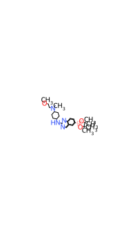 COCCN(C)C1CCC(Nc2ncc3cc(B4OC(C)(C)C(C)(C)O4)ccc3n2)CC1